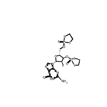 Nc1nc2c(ncn2[C@@H]2O[C@H](COP3(=S)SCCS3)[C@@H](OP3(=S)SCCS3)[C@H]2F)c(=O)[nH]1